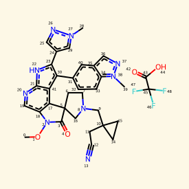 CON1C(=O)C2(CCN(CC3(CC#N)CC3)C2)c2c1cnc1[nH]c(-c3cnn(C)c3)c(-c3ccc4c(cnn4C)c3)c21.O=C(O)C(F)(F)F